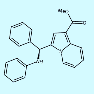 COC(=O)c1cc([C@@H](Nc2ccccc2)c2ccccc2)n2ccccc12